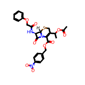 CC(=O)OC(C)C1=C(C(=O)OCc2ccc([N+](=O)[O-])cc2)N2C(=O)[C@@H](NC(=O)COc3ccccc3)[C@@H]2SC1